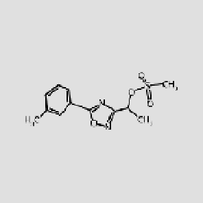 Cc1cccc(-c2nc(C(C)OS(C)(=O)=O)no2)c1